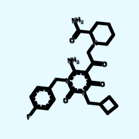 NC(=O)C1CCCCN1CC(=O)c1c(N)n(Cc2ccc(F)cc2)c(=O)n(CC2CCC2)c1=O